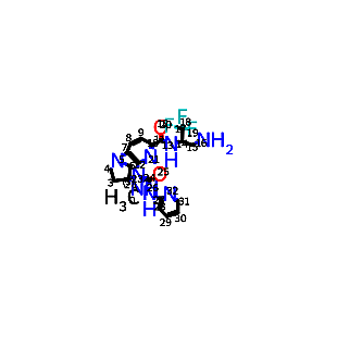 CN[C@]12CCN(C1)c1ccc(C(=O)NC(CN)C(F)(F)F)nc1N2C(=O)Nc1ccccn1